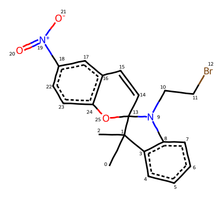 CC1(C)c2ccccc2N(CCBr)C12C=Cc1cc([N+](=O)[O-])ccc1O2